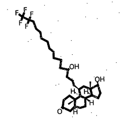 C[C@]12CCC(=O)C[C@@H]1CC[C@@H]1[C@@H]2[C@@H](CCCC(O)CCCCCCCCCCC(F)(F)C(F)(F)F)C[C@]2(C)[C@@H](O)CC[C@@H]12